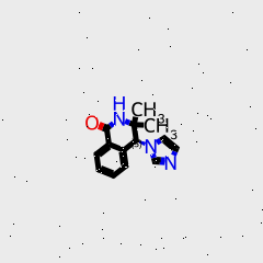 CC1(C)NC(=O)c2ccccc2[C@@H]1n1ccnc1